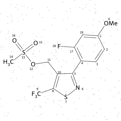 COc1ccc(-c2nsc(C(F)(F)F)c2COS(C)(=O)=O)c(F)c1